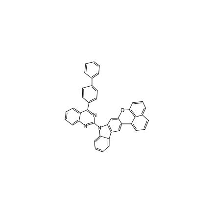 c1ccc(-c2ccc(-c3nc(-n4c5ccccc5c5cc6c(cc54)Oc4cccc5cccc-6c45)nc4ccccc34)cc2)cc1